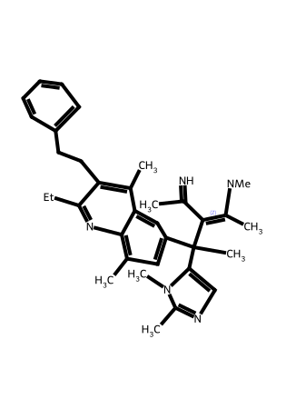 CCc1nc2c(C)cc(C(C)(/C(C(C)=N)=C(\C)NC)c3cnc(C)n3C)cc2c(C)c1CCc1ccccc1